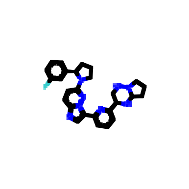 Fc1cccc([C@H]2CCCN2c2ccc3ncc(-c4cccc(C5CNN6CCCC6N5)n4)n3n2)c1